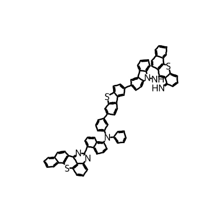 N=c1cccc2sc3c(ccc4ccccc43)c(Nn3c4ccccc4c4cc(-c5ccc6sc7cc(-c8cccc(N(c9ccccc9)c9cccc%10c(-c%11nc%12c%13c(cccc%13n%11)Sc%11c-%12ccc%12ccccc%11%12)cccc9%10)c8)ccc7c6c5)ccc43)c1-2